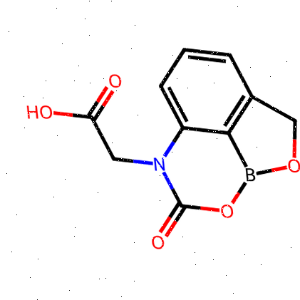 O=C(O)CN1C(=O)OB2OCc3cccc1c32